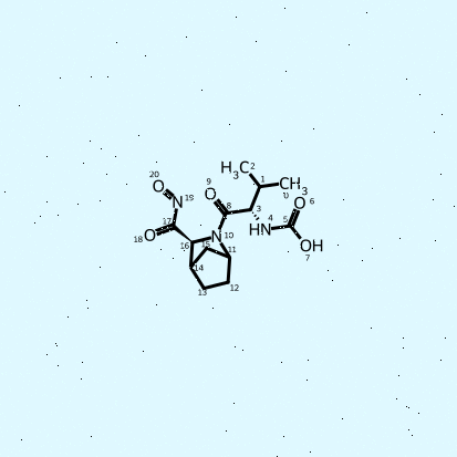 CC(C)[C@H](NC(=O)O)C(=O)N1C2CCC(C2)[C@H]1C(=O)N=O